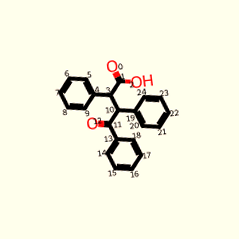 O=C(O)C(c1ccccc1)C(C(=O)c1ccccc1)c1ccccc1